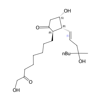 CCCCC(C)(O)C/C=C/[C@H]1[C@@H](O)CC(=O)[C@@H]1CCCCCCC(=O)CO